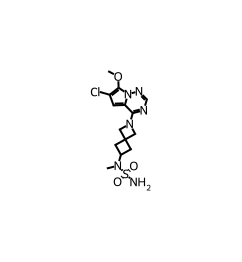 COc1c(Cl)cc2c(N3CC4(CC(N(C)S(N)(=O)=O)C4)C3)ncnn12